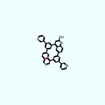 Oc1cc(-c2cc(-c3cccnc3)cc(-c3cccnc3)c2)c2cc(-c3cc(-c4cccnc4)cc(-c4cccnc4)c3)ccc2n1